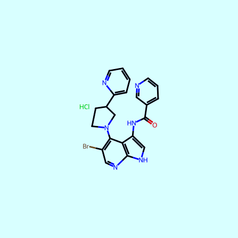 Cl.O=C(Nc1c[nH]c2ncc(Br)c(N3CCC(c4ccccn4)C3)c12)c1cccnc1